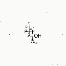 COC(O)CC(F)(F)C(C)(C)C